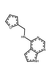 c1coc(CNc2ncnc3[nH]ccc23)c1